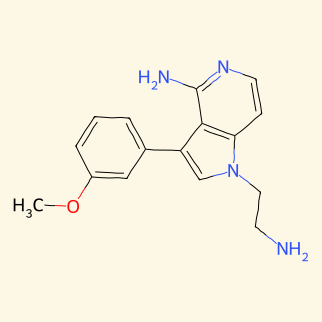 COc1cccc(-c2cn(CCN)c3ccnc(N)c23)c1